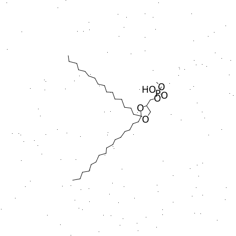 CCCCCCCCCCCCCCCCC1(CCCCCCCCCCCCCCCC)OCC(COP(=O)(O)OC)O1